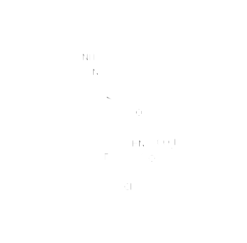 O=C(NC(CCO[C@H]1C[C@H](CCc2ccc3c(n2)NCCC3)C1)C(=O)O)c1cc(F)cc(Cl)c1